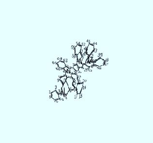 c1ccc(N2CCc3c2ccc2c3c3c4sc5ccccc5c4cc(-c4ccc5c(c4)c4ccc6c7ccccc7n(-c7ccccc7)c6c4n4cc6ccccc6c54)c3n3cc4ccccc4c23)cc1